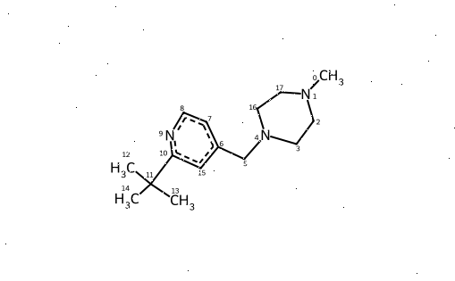 CN1CCN(Cc2ccnc(C(C)(C)C)c2)CC1